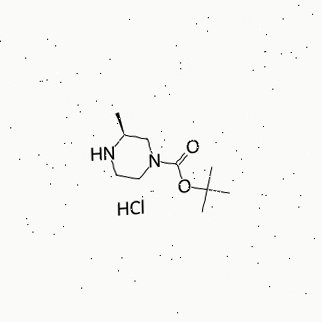 C[C@H]1CN(C(=O)OC(C)(C)C)CCN1.Cl